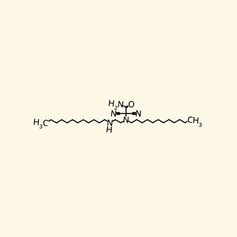 CCCCCCCCCCCCNCCN(CCCCCCCCCCCC)C(C#N)(C#N)C(N)=O